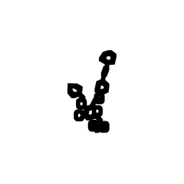 CS(=O)(=O)Cc1cc(=O)c(OCc2ccccc2)c(COc2ccc(C#Cc3ccccc3)cc2)o1